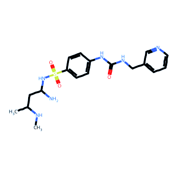 CNC(C)CC(N)NS(=O)(=O)c1ccc(NC(=O)NCc2cccnc2)cc1